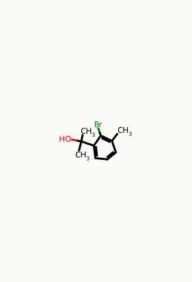 Cc1cccc(C(C)(C)O)c1Br